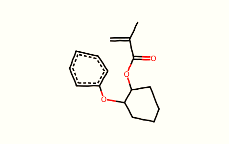 C=C(C)C(=O)OC1CCCCC1Oc1ccccc1